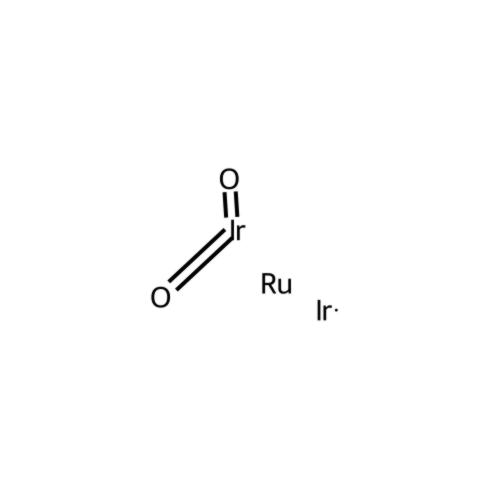 [Ir].[O]=[Ir]=[O].[Ru]